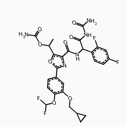 CC(OC(N)=O)c1oc(-c2ccc(OC(F)F)c(OCC3CC3)c2)nc1C(=O)NC(C(=O)NC(N)=O)c1ccc(F)cc1F